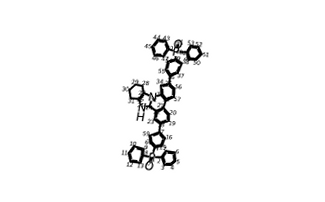 O=P(c1ccccc1)(c1ccccc1)c1ccc(-c2ccc3c(c2)C2NC4=C(CCCC4)N2c2cc(-c4ccc(P(=O)(c5ccccc5)c5ccccc5)cc4)ccc2-3)cc1